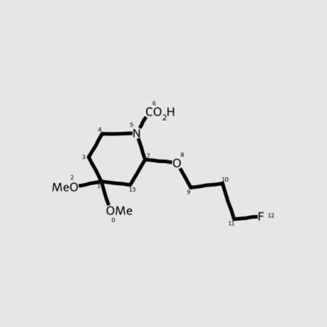 COC1(OC)CCN(C(=O)O)C(OCCCF)C1